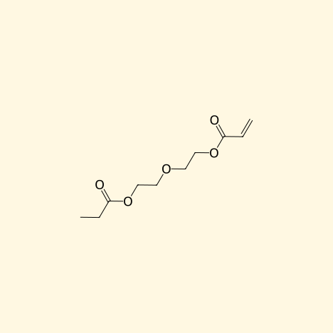 C=CC(=O)OCCOCCOC(=O)CC